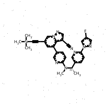 C[C@@H](c1ccc(-n2cc(F)cn2)nc1)N(C)c1ccc(-c2cc(C#C[Si](C)(C)C)cn3ncc(C#N)c23)cn1